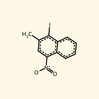 Cc1cc([N+](=O)[O-])c2ccccc2c1I